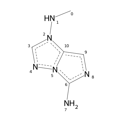 CNn1cnn2c(N)ncc12